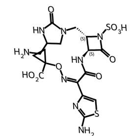 NCC1CN(C[C@H]2[C@H](NC(=O)C(=NOC3(C(=O)O)CC3)c3csc(N)n3)C(=O)N2S(=O)(=O)O)C(=O)N1